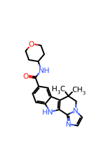 CC1(C)Cn2ccnc2-c2[nH]c3ccc(C(=O)NC4CCOCC4)cc3c21